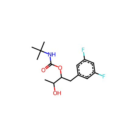 CC(O)C(Cc1cc(F)cc(F)c1)OC(=O)NC(C)(C)C